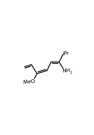 C=C/C(=C\C=C(/N)C(C)C)OC